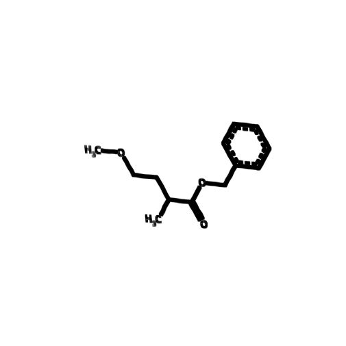 COCCC(C)C(=O)OCc1ccccc1